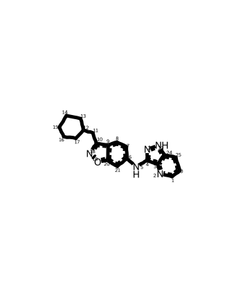 c1cnc2c(Nc3ccc4c(CC5CCCCC5)noc4c3)n[nH]c2c1